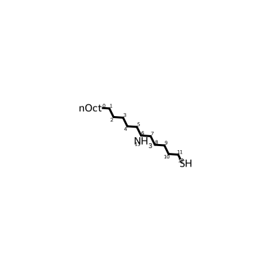 CCCCCCCCCCCCCCCCCCCS.N